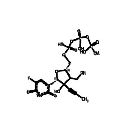 CC#CC1(O)C(CO)[C@@H](COP(=O)(O)OP(=O)(O)OP(=O)(O)O)O[C@H]1n1cc(F)c(=O)[nH]c1=O